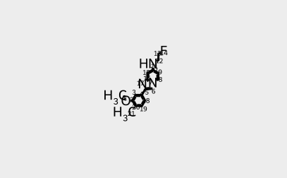 COc1cc(-c2cn3ccc(NCCF)cc3n2)ccc1C